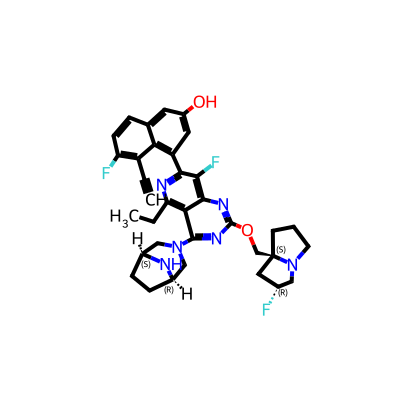 C#Cc1c(F)ccc2cc(O)cc(-c3nc(CC)c4c(N5C[C@H]6CC[C@@H](C5)N6)nc(OC[C@@]56CCCN5C[C@H](F)C6)nc4c3F)c12